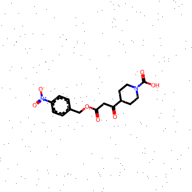 O=C(CC(=O)C1CCN(C(=O)O)CC1)OCc1ccc([N+](=O)[O-])cc1